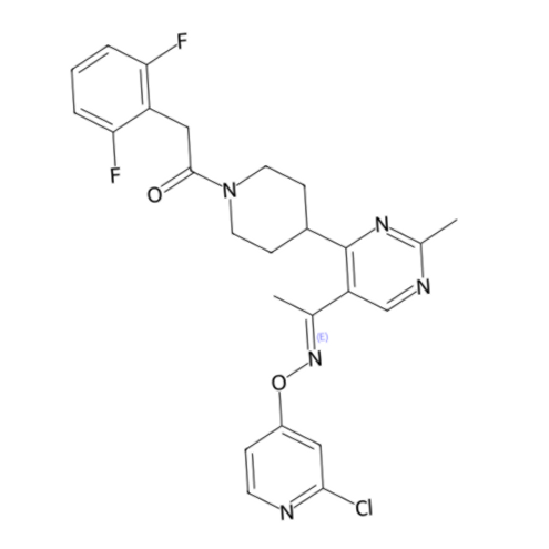 C/C(=N\Oc1ccnc(Cl)c1)c1cnc(C)nc1C1CCN(C(=O)Cc2c(F)cccc2F)CC1